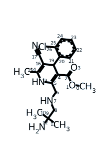 COC(=O)C1=C(CNCC(C)(C)N)NC(C)=C(C#N)C1c1ccccc1Cl